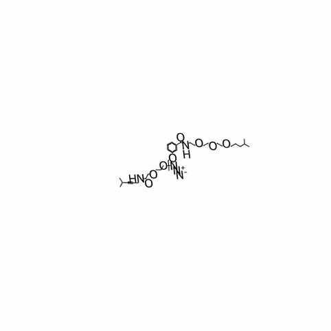 CC(C)C#CCNC(=O)COCCOC(C)(COc1cccc(C(=O)NCCOCCOCCOCCCC(C)C)c1)N=[N+]=[N-]